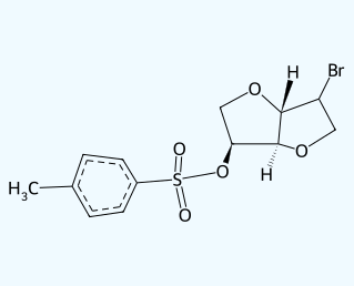 Cc1ccc(S(=O)(=O)O[C@H]2CO[C@@H]3C(Br)CO[C@@H]23)cc1